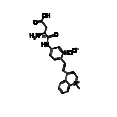 C[n+]1ccc(C=Cc2ccc(NC(=O)[C@@H](N)CC(=O)O)cc2)c2ccccc21.Cl.[Cl-]